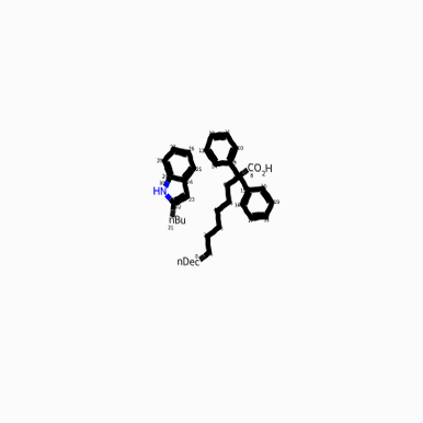 CCCCCCCCCCCCCCCCC(C(=O)O)(c1ccccc1)c1ccccc1.CCCCc1cc2ccccc2[nH]1